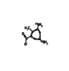 Cc1c([15NH2])cc([15NH2])cc1[N+](=O)[O-]